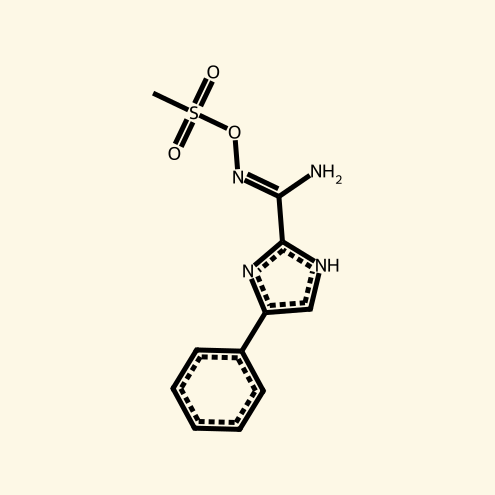 CS(=O)(=O)ON=C(N)c1nc(-c2ccccc2)c[nH]1